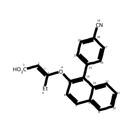 CC/C(=C\C(=O)O)Oc1ccc2ccccc2c1-c1ccc(C#N)cc1